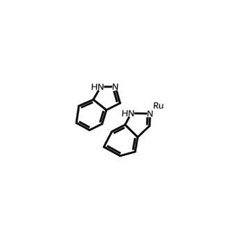 [Ru].c1ccc2[nH]ncc2c1.c1ccc2[nH]ncc2c1